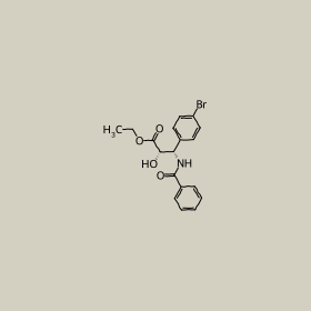 CCOC(=O)[C@@H](O)[C@@H](NC(=O)c1ccccc1)c1ccc(Br)cc1